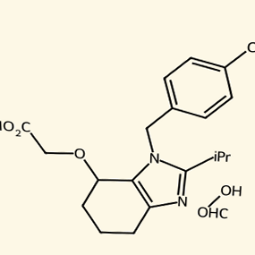 CC(C)c1nc2c(n1Cc1ccc(Cl)cc1)C(OCC(=O)O)CCC2.O=CO